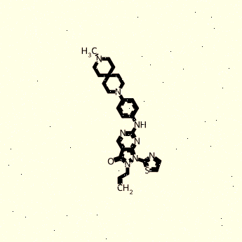 C=CCn1c(=O)c2cnc(Nc3ccc(N4CCC5(CCN(C)CC5)CC4)cc3)nc2n1-c1nccs1